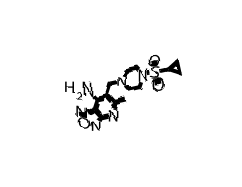 Cc1nc2nonc2c(N)c1CN1CCN(S(=O)(=O)C2CC2)CC1